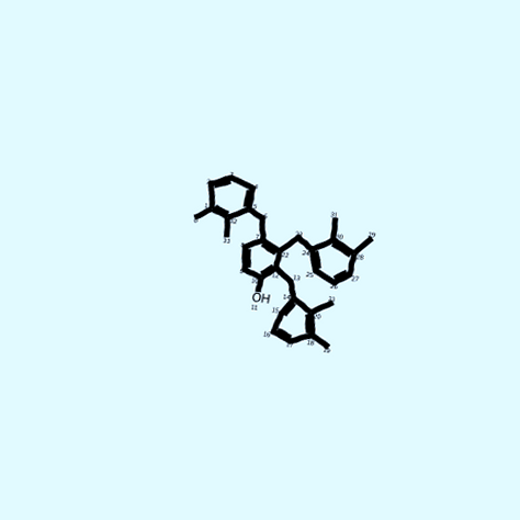 Cc1cccc(Cc2ccc(O)c(Cc3cccc(C)c3C)c2Cc2cccc(C)c2C)c1C